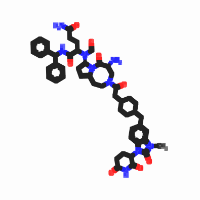 Cn1c(=O)n(C2CCC(=O)NC2=O)c2ccc(CC3CCC(CC(=O)N4CCC5=CC[C@@H](N(C=O)C(CCC(N)=O)C(=O)NC(c6ccccc6)c6ccccc6)N5C(=O)[C@@H](N)C4)CC3)cc21